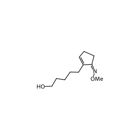 CON=C1CCC=C1CCCCCO